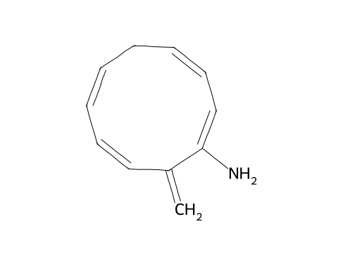 C=C1/C=C\C=C/C/C=C\C=C/1N